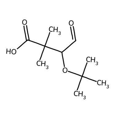 CC(C)(C)OC(C=O)C(C)(C)C(=O)O